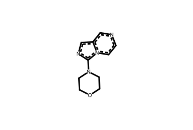 c1cn2c(N3CCOCC3)ncc2cn1